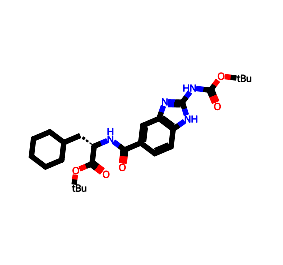 CC(C)(C)OC(=O)Nc1nc2cc(C(=O)N[C@@H](CC3CCCCC3)C(=O)OC(C)(C)C)ccc2[nH]1